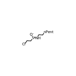 CCCCCCCN[S+]([O-])CCCl